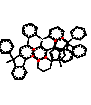 CC1C=CC2=C(C1)C(c1ccccc1)(c1ccccc1)c1cccc(N(c3ccccc3-c3ccc4c(c3)C(C)(c3ccccc3)c3ccccc3-4)c3ccccc3-c3cccc4cccc(C5CCCCC5)c34)c12